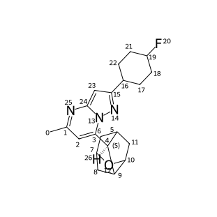 Cc1cc([C@H]2C3CC4CC2C(C3)O4)n2nc(C3CCC(F)CC3)cc2n1